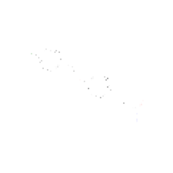 NC(=O)COc1ccc(OCc2ccc(F)cc2)cc1